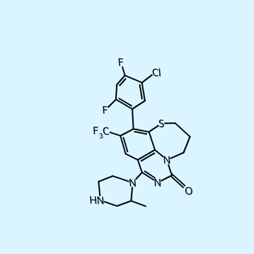 CC1CNCCN1c1nc(=O)n2c3c(c(-c4cc(Cl)c(F)cc4F)c(C(F)(F)F)cc13)SCCC2